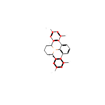 CC(C)c1cc(C(C)C)c(-c2cccc(-c3c(C(C)C)cc(C(C)C)cc3C(C)C)c2P2C(c3ccccc3)CCCC2c2ccccc2)c(C(C)C)c1